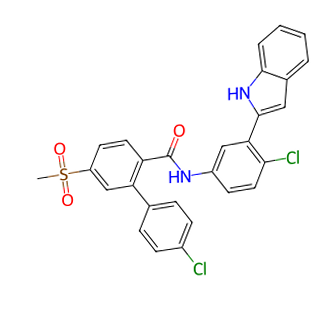 CS(=O)(=O)c1ccc(C(=O)Nc2ccc(Cl)c(-c3cc4ccccc4[nH]3)c2)c(-c2ccc(Cl)cc2)c1